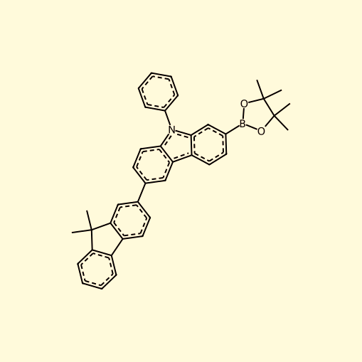 CC1(C)c2ccccc2-c2ccc(-c3ccc4c(c3)c3ccc(B5OC(C)(C)C(C)(C)O5)cc3n4-c3ccccc3)cc21